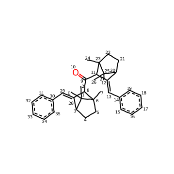 CC1(C)C2CCC1(C)C(C(=O)C1C(=Cc3ccccc3)C3CCC1(C)C3(C)C)C2=Cc1ccccc1